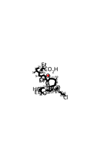 CC[C@@H](C(=O)[C@@H](C)[C@@H](O)[C@H](C)[C@@H]1O[C@@H]([C@@H](CC)C(=O)O)CC[C@@H]1C)[C@H]1OO[C@@]2(CC[C@@](C)([C@H]3CC[C@](O)(CC)[C@H](C)O3)O2)[C@H](NC(=O)NCCCCl)/C=C\[C@H](C)C[C@@H]1C